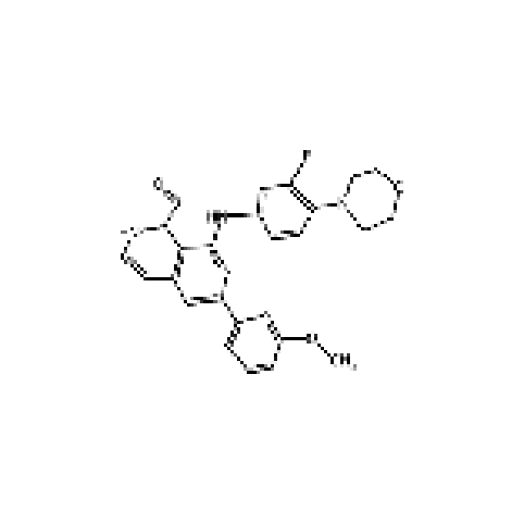 COc1cccc(-c2cc3c(c(Nc4ccc(N5CCOCC5)c(F)c4)n2)C(C=O)NC=C3)n1